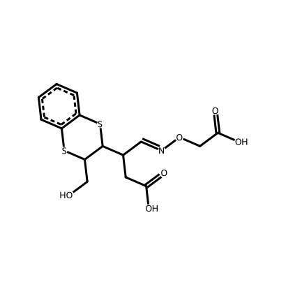 O=C(O)CO/N=C/C(CC(=O)O)C1Sc2ccccc2SC1CO